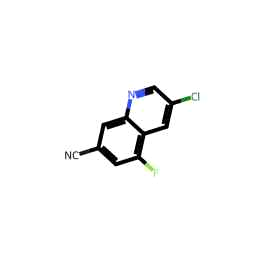 N#Cc1cc(F)c2cc(Cl)cnc2c1